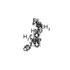 C=CCN(CCN1CCOCC1)C1CCCCN1S(=O)(=O)c1ccc(NC(=O)c2cc(C(F)(F)F)nn2C)cc1